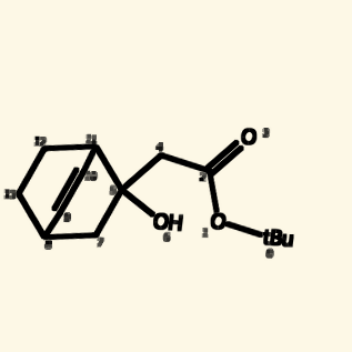 CC(C)(C)OC(=O)CC1(O)CC2C=CC1CC2